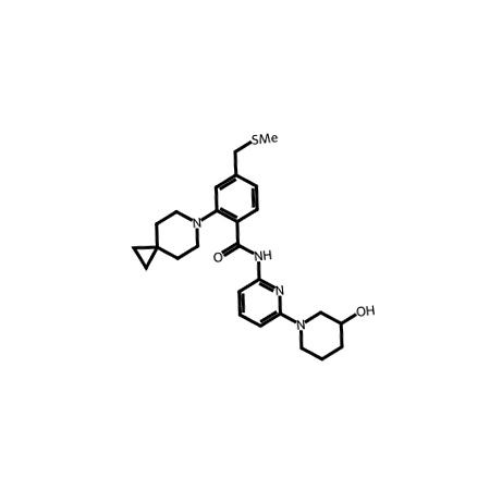 CSCc1ccc(C(=O)Nc2cccc(N3CCCC(O)C3)n2)c(N2CCC3(CC2)CC3)c1